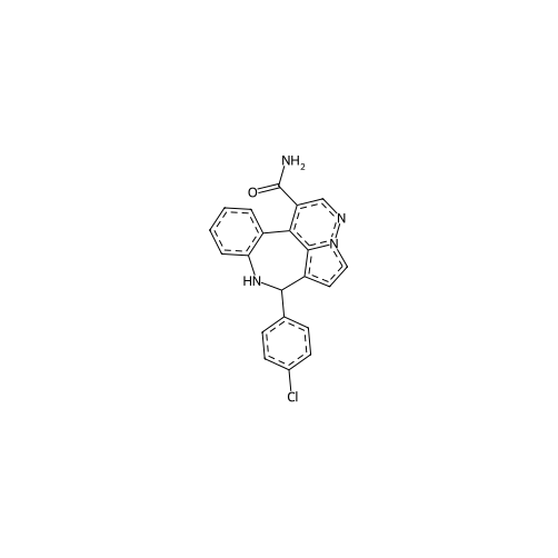 NC(=O)c1cnn2ccc3c2c1-c1ccccc1NC3c1ccc(Cl)cc1